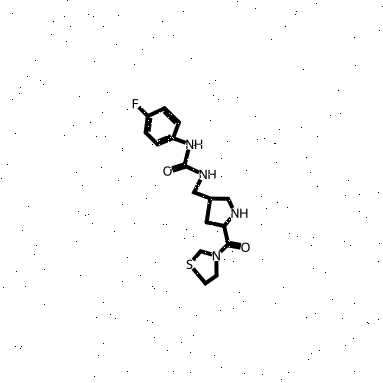 O=C(NCC1CNC(C(=O)N2CCSC2)C1)Nc1ccc(F)cc1